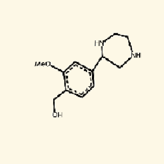 COc1cc(C2CNCCN2)ccc1CO